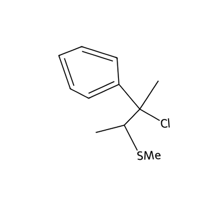 CSC(C)C(C)(Cl)c1ccccc1